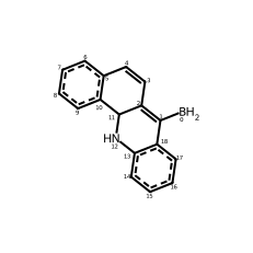 BC1=C2C=Cc3ccccc3C2Nc2ccccc21